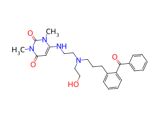 Cn1c(NCCN(CCO)CCCc2ccccc2C(=O)c2ccccc2)cc(=O)n(C)c1=O